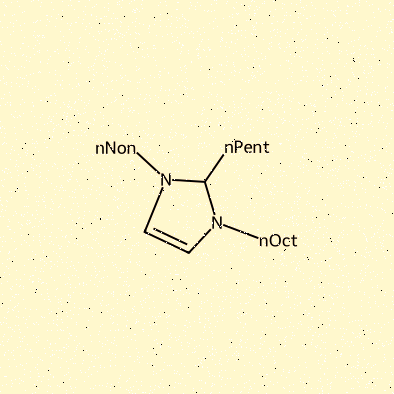 CCCCCCCCCN1C=CN(CCCCCCCC)C1CCCCC